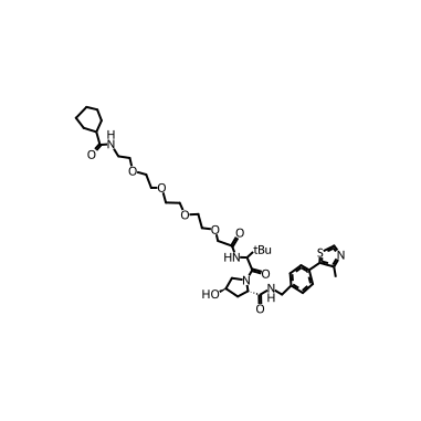 Cc1ncsc1-c1ccc(CNC(=O)[C@@H]2C[C@@H](O)CN2C(=O)C(NC(=O)COCCOCCOCCOCCNC(=O)C2CCCCC2)C(C)(C)C)cc1